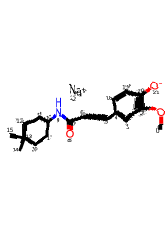 COc1cc(C=CC(=O)NC2CCC(C)(C)CC2)ccc1[O-].[Na+]